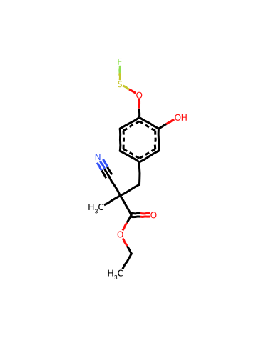 CCOC(=O)C(C)(C#N)Cc1ccc(OSF)c(O)c1